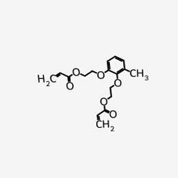 C=CC(=O)OCCOc1cccc(C)c1OCCOC(=O)C=C